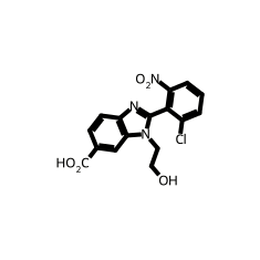 O=C(O)c1ccc2nc(-c3c(Cl)cccc3[N+](=O)[O-])n(CCO)c2c1